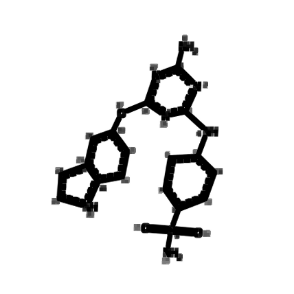 Nc1nc(Nc2ccc(S(N)(=O)=O)cc2)nc(Oc2ccc3[nH]ccc3c2)n1